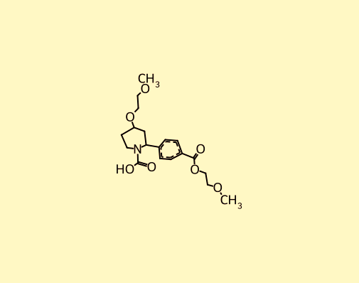 COCCOC(=O)c1ccc(C2CC(OCCOC)CCN2C(=O)O)cc1